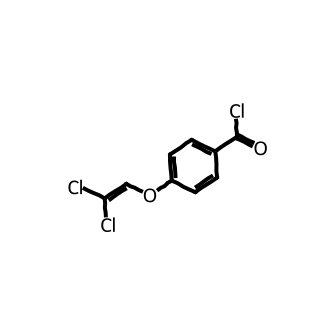 O=C(Cl)c1ccc(OC=C(Cl)Cl)cc1